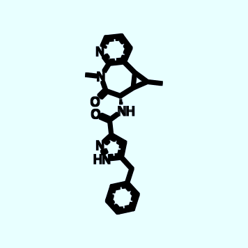 CC1C2c3cccnc3N(C)C(=O)[C@@H](NC(=O)c3cc(Cc4ccccc4)[nH]n3)C12